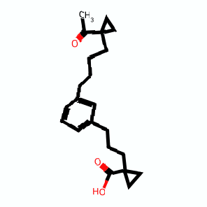 CC(=O)C1(CCCCc2cccc(CCCC3(C(=O)O)CC3)c2)CC1